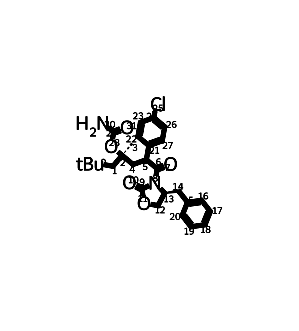 CC(C)(C)C[C@](C)(CC(C(=O)N1C(=O)OC[C@@H]1Cc1ccccc1)c1ccc(Cl)cc1)OC(N)=O